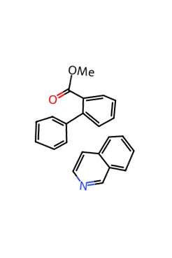 COC(=O)c1ccccc1-c1ccccc1.c1ccc2cnccc2c1